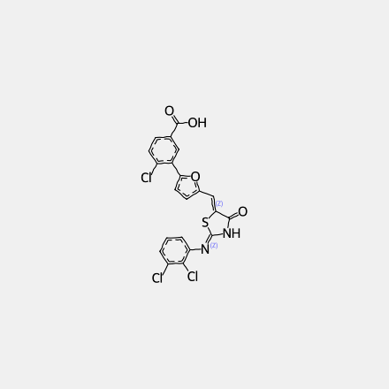 O=C1N/C(=N/c2cccc(Cl)c2Cl)S/C1=C\c1ccc(-c2cc(C(=O)O)ccc2Cl)o1